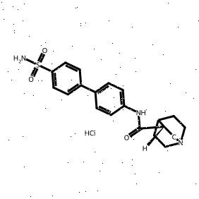 Cl.NS(=O)(=O)c1ccc(-c2ccc(NC(=O)[C@H]3CN4CCC3CC4)cc2)cc1